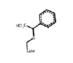 CSCSC(C(=O)O)c1ccccc1